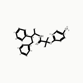 CC(NC(=O)C(C)(C)Oc1ccc(C(F)(F)F)cn1)C(Cc1ccccc1)c1ccccc1